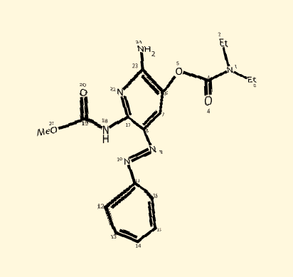 CCN(CC)C(=O)Oc1cc(/N=N/c2ccccc2)c(NC(=O)OC)nc1N